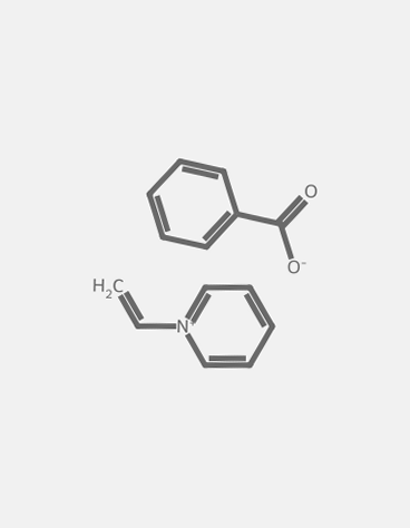 C=C[n+]1ccccc1.O=C([O-])c1ccccc1